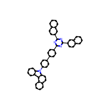 c1ccc2cc(-c3nc(-c4ccc(-c5ccc(-n6c7ccccc7c7c8ccccc8ccc76)cc5)cc4)nc(-c4ccc5ccccc5c4)n3)ccc2c1